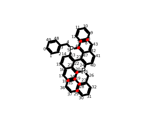 c1ccc(CP(Cc2ccccc2)c2ccc3ccccc3c2-c2c(P(Cc3ccccc3)Cc3ccccc3)ccc3ccccc23)cc1